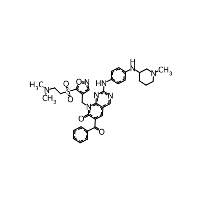 CN(C)CCS(=O)(=O)c1oncc1Cn1c(=O)c(C(=O)c2ccccc2)cc2cnc(Nc3ccc(NC4CCCN(C)C4)cc3)nc21